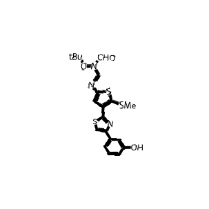 CSc1sc(N=CN(C=O)OC(C)(C)C)cc1-c1nc(-c2cccc(O)c2)cs1